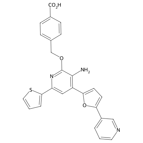 Nc1c(-c2ccc(-c3cccnc3)o2)cc(-c2cccs2)nc1OCc1ccc(C(=O)O)cc1